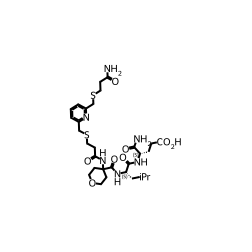 CC(C)C[C@H](NC(=O)C1(NC(=O)CCSCc2cccc(CSCCC(N)=O)n2)CCOCC1)C(=O)N[C@@H](CCC(=O)O)C(N)=O